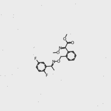 CO/N=C(/C(=O)OC)c1ccccc1CO/N=C(\C)c1cc(F)ccc1F